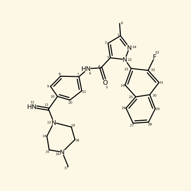 Cc1cc(C(=O)Nc2ccc(C(=N)N3CCN(C)CC3)cc2)n(-c2cc3ccccc3cc2F)n1